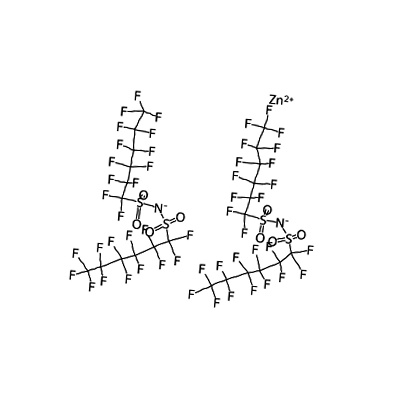 O=S(=O)([N-]S(=O)(=O)C(F)(F)C(F)(F)C(F)(F)C(F)(F)C(F)(F)C(F)(F)F)C(F)(F)C(F)(F)C(F)(F)C(F)(F)C(F)(F)C(F)(F)F.O=S(=O)([N-]S(=O)(=O)C(F)(F)C(F)(F)C(F)(F)C(F)(F)C(F)(F)C(F)(F)F)C(F)(F)C(F)(F)C(F)(F)C(F)(F)C(F)(F)C(F)(F)F.[Zn+2]